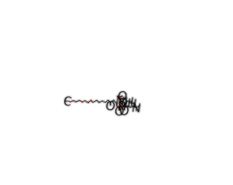 CCCCCCCCCCCCCCCCC(=O)CC(CC(=O)P(O)C(=O)CCCN(C)C)NC(C)=O